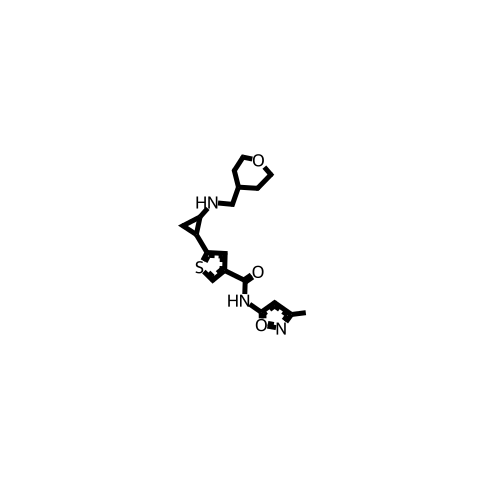 Cc1cc(NC(=O)c2csc(C3CC3NCC3CCOCC3)c2)on1